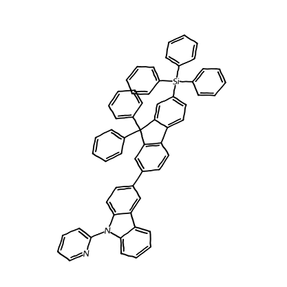 c1ccc(C2(c3ccccc3)c3cc(-c4ccc5c(c4)c4ccccc4n5-c4ccccn4)ccc3-c3ccc([Si](c4ccccc4)(c4ccccc4)c4ccccc4)cc32)cc1